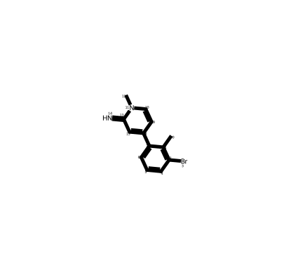 Cc1c(Br)cccc1-c1ccn(C)c(=N)c1